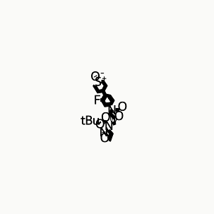 CC(C)(C)OC(=O)N(C[C@H]1CN(c2ccc(C3CC[S+]([O-])CC3)c(F)c2)C(=O)O1)c1ccon1